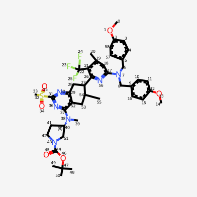 COc1ccc(CN(Cc2ccc(OC)cc2)c2cc(C)c(C(F)(F)F)c(C3Cc4nc(S(C)(=O)=O)nc(N(C)[C@@H]5CCN(C(=O)OC(C)(C)C)C5)c4CC3C)n2)cc1